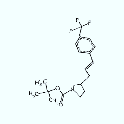 CC(C)(C)OC(=O)N1CCC(CC=Cc2ccc(C(F)(F)F)cc2)C1